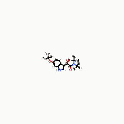 [2H]C([2H])([2H])Oc1ccc2c(C(=O)C(=O)N(C([2H])([2H])[2H])C([2H])([2H])[2H])c[nH]c2c1